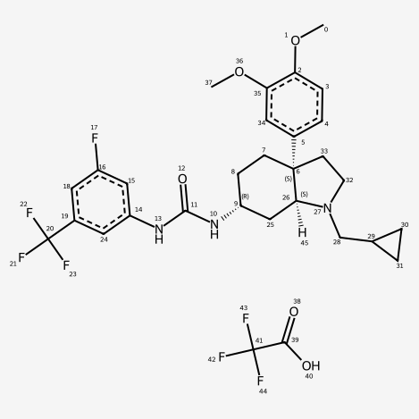 COc1ccc([C@@]23CC[C@@H](NC(=O)Nc4cc(F)cc(C(F)(F)F)c4)C[C@@H]2N(CC2CC2)CC3)cc1OC.O=C(O)C(F)(F)F